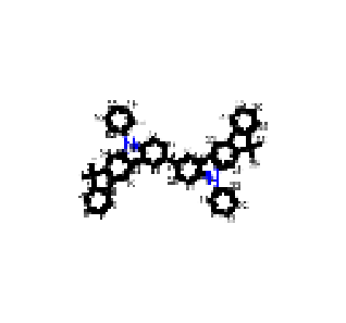 CC1(C)c2ccccc2-c2cc3c4cc(-c5ccc6c(c5)c5cc7c(cc5n6-c5ccccc5)C(C)(C)c5ccccc5-7)ccc4n(-c4ccccc4)c3cc21